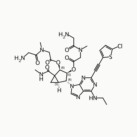 CCNc1nc(C#Cc2ccc(Cl)s2)nc2c1ncn2[C@H]1[C@H](OC(=O)CN(C)C(=O)CN)[C@H](OC(=O)CN(C)C(=O)CN)C2(C(=O)NC)C[C@H]12